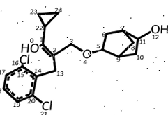 O/C(=C(/CO[C@H]1CC2CC1CC2O)Cc1c(Cl)cccc1Cl)C1CC1